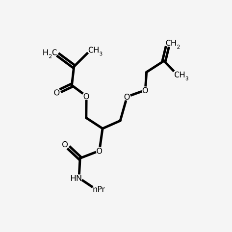 C=C(C)COOCC(COC(=O)C(=C)C)OC(=O)NCCC